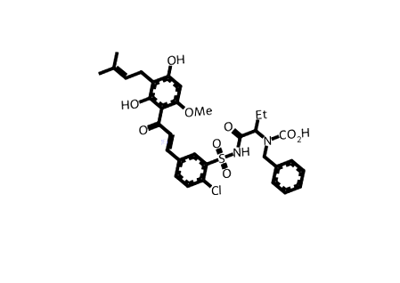 CCC(C(=O)NS(=O)(=O)c1cc(/C=C/C(=O)c2c(OC)cc(O)c(CC=C(C)C)c2O)ccc1Cl)N(Cc1ccccc1)C(=O)O